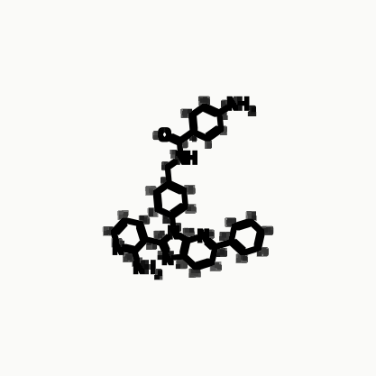 Nc1ccc(C(=O)NCc2ccc(-n3c(-c4cccnc4N)nc4ccc(-c5ccccc5)nc43)cc2)cc1